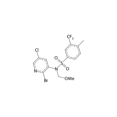 COCN(c1cc(Cl)cnc1Br)S(=O)(=O)c1ccc(C)c(C(F)(F)F)c1